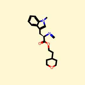 C=N[C@H](Cc1cn(C)c2ccccc12)C(=O)OCCC1CCOCC1